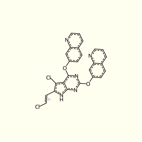 Cl/C=C/c1[nH]c2nc(Oc3ccc4cccnc4c3)nc(Oc3ccc4cccnc4c3)c2c1Cl